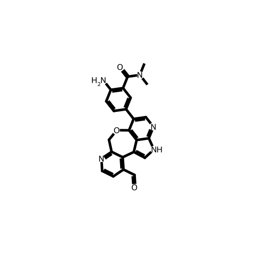 CN(C)C(=O)c1cc(-c2cnc3[nH]cc4c3c2OCc2nccc(C=O)c2-4)ccc1N